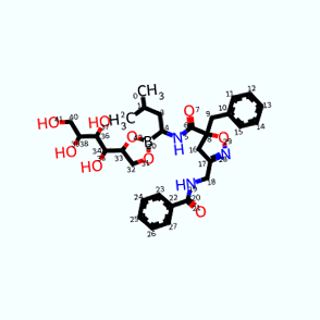 CC(C)CC(NC(=O)C1(Cc2ccccc2)CC(CNC(=O)c2ccccc2)=NO1)B1OCC(C(O)C(O)C(O)CO)O1